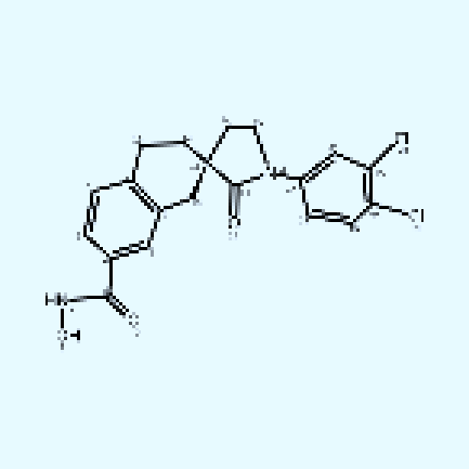 O=C(NO)c1ccc2c(c1)C[C@@]1(CC2)CCN(c2ccc(Cl)c(Cl)c2)C1=O